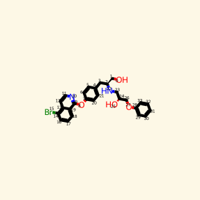 OC[C@H](Cc1ccc(Oc2nccc3c(Br)cccc23)cc1)NC[C@H](O)COc1ccccc1